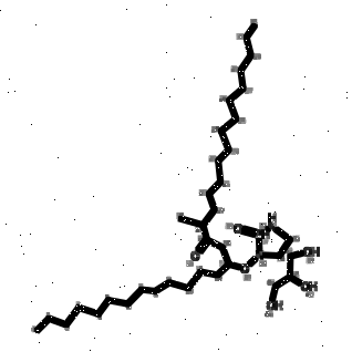 CCCCCCCCCCCCCC(CC(=O)C(C)CCCCCCCCCCCCC)ON1CCN[PH]1=O.OCC(O)CO